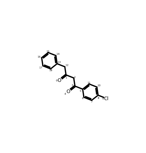 O=C(CC(=O)c1ccc(Cl)cc1)Cc1ccccc1